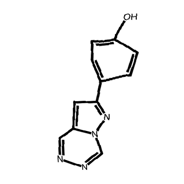 Oc1ccc(-c2cc3cnncn3n2)cc1